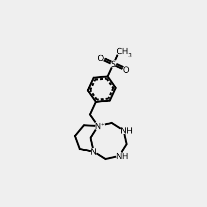 CS(=O)(=O)c1ccc(C[N+]23CCCN(CNCNC2)C3)cc1